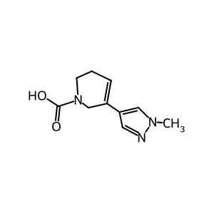 Cn1cc(C2=CCCN(C(=O)O)C2)cn1